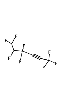 FC(F)C(F)C(F)(F)C#CC(F)(F)F